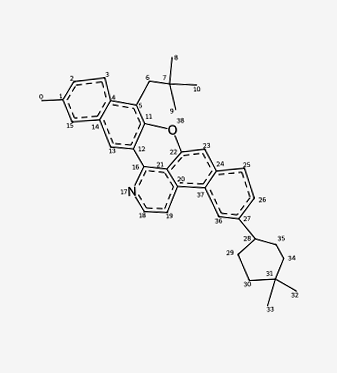 Cc1ccc2c(CC(C)(C)C)c3c(cc2c1)-c1nccc2c1c(cc1ccc(C4CCC(C)(C)CC4)cc12)O3